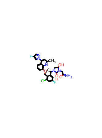 Cc1cc(-n2cc(F)cn2)c2cccc(OCc3c(Cl)cc(F)cc3C(C)N3CC(O)N(CC(N)=O)C3O)c2n1